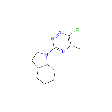 Cc1nc(N2CCC3CCCCC32)nnc1Cl